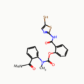 CNC(=O)c1ccccc1N(C)C(=O)Oc1ccccc1C(=O)Nc1ncc(S)s1